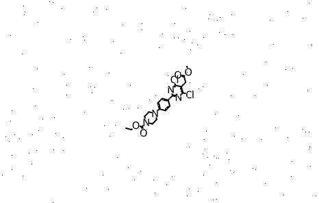 CCOC(=O)N1CCN(c2ccc(-c3nc(Cl)c(CC(=O)OC)c(Cl)n3)cc2)CC1